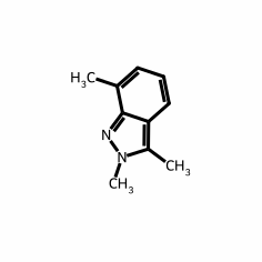 Cc1cccc2c(C)n(C)nc12